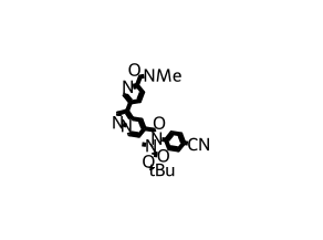 CNC(=O)c1ccc(-c2cnn3ccc(C(=O)N(c4ccc(C#N)cc4)N(C)C(=O)OC(C)(C)C)cc23)cn1